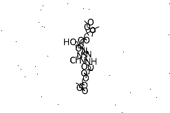 CC(=O)Oc1cc(C)cc(C)c1C(C)(C)CC(=O)O[C@H]1C[C@H](n2cnc3c(NC(=O)OC(C)(C)CC(=O)OCc4oc(=O)oc4C)nc(Cl)nc32)O[C@]1(C)CO